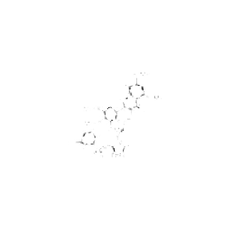 COc1cc(OC)c2c(=O)c(OCCC[SH]3C=NN=C3OS(=O)(=O)c3cccc(F)c3)c(-c3cc(OC)c(OC)c(OC)c3)oc2c1